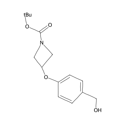 CC(C)(C)OC(=O)N1CC(Oc2ccc(CO)cc2)C1